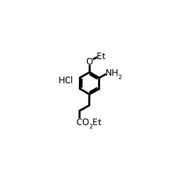 CCOC(=O)CCc1ccc(OCC)c(N)c1.Cl